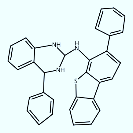 c1ccc(-c2ccc3c(sc4ccccc43)c2NC2Nc3ccccc3C(c3ccccc3)N2)cc1